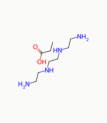 CCC(=O)O.NCCNCCNCCN